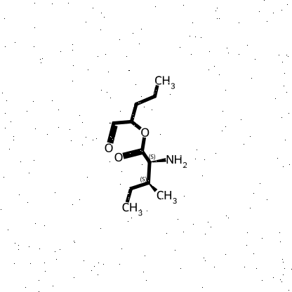 CCCC([C]=O)OC(=O)[C@@H](N)[C@@H](C)CC